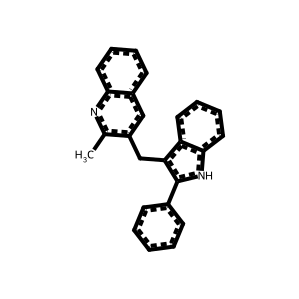 Cc1nc2ccccc2cc1Cc1c(-c2ccccc2)[nH]c2ccccc12